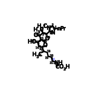 CCCc1cn(C)c(C=C(C)C(=O)c2c(O)cc(C(C)CC/C=C/NC(=O)O)oc2=O)n1